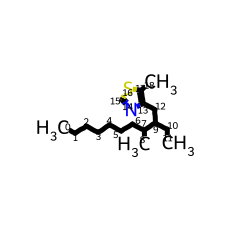 CCCCCCCC(C)C(CC)Cc1ncsc1C